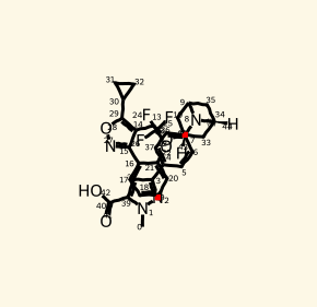 Cn1nc(-c2ccc(N3C4C[C@@H](OCc5c(-c6ccccc6OC(F)(F)F)noc5C5CC5)C[C@H]3C4)cc2)cc1C(=O)O